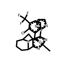 Cc1nc2c(c(-n3nccn3)n1)CC1CCCC2N1C(=O)c1cccc(C(F)(F)F)c1Cl